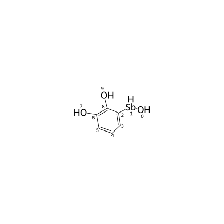 [OH][SbH][c]1cccc(O)c1O